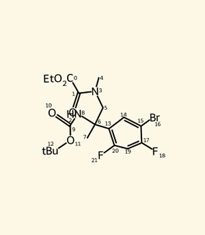 CCOC(=O)C(=O)N(C)CC(C)(NC(=O)OC(C)(C)C)c1cc(Br)c(F)cc1F